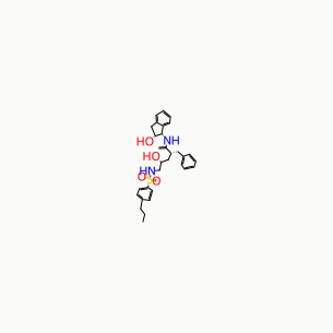 C=C(N[C@H]1c2ccccc2C[C@H]1O)[C@H](Cc1ccccc1)C[C@H](O)CNS(=O)(=O)c1ccc(CCC)cc1